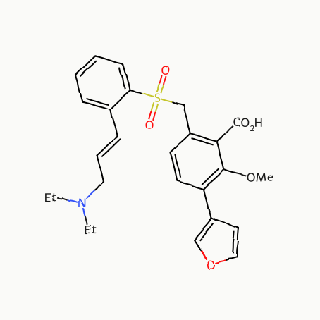 CCN(CC)CC=Cc1ccccc1S(=O)(=O)Cc1ccc(-c2ccoc2)c(OC)c1C(=O)O